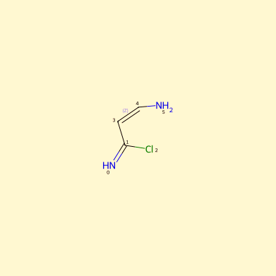 N=C(Cl)/C=C\N